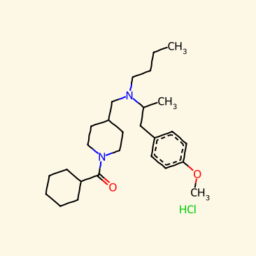 CCCCN(CC1CCN(C(=O)C2CCCCC2)CC1)C(C)Cc1ccc(OC)cc1.Cl